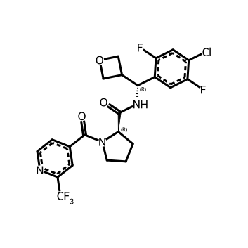 O=C(N[C@@H](c1cc(F)c(Cl)cc1F)C1COC1)[C@H]1CCCN1C(=O)c1ccnc(C(F)(F)F)c1